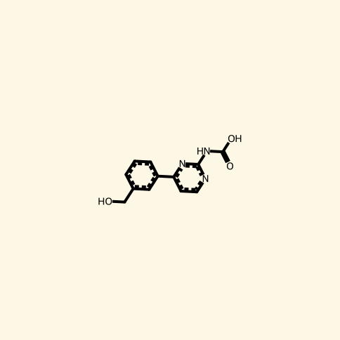 O=C(O)Nc1nccc(-c2cccc(CO)c2)n1